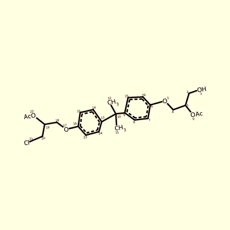 CC(=O)OC(CO)COc1ccc(C(C)(C)c2ccc(OCC(CCl)OC(C)=O)cc2)cc1